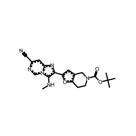 CNc1c(-c2cc3c(o2)CCN(C(=O)OC(C)(C)C)C3)nc2cc(C#N)ncn12